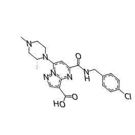 C[C@@H]1CN(C)CCN1c1cc(C(=O)NCc2ccc(Cl)cc2)nc2c(C(=O)O)cnn12